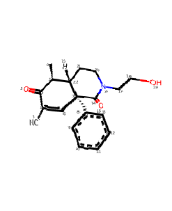 C[C@@H]1C(=O)C(C#N)=C[C@]2(c3ccccc3)C(=O)N(CCO)CC[C@@H]12